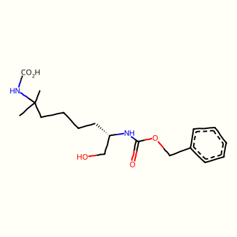 CC(C)(CCCC[C@@H](CO)NC(=O)OCc1ccccc1)NC(=O)O